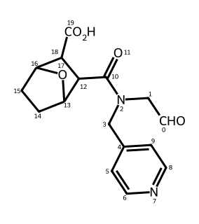 O=CCN(Cc1ccncc1)C(=O)C1C2CCC(O2)C1C(=O)O